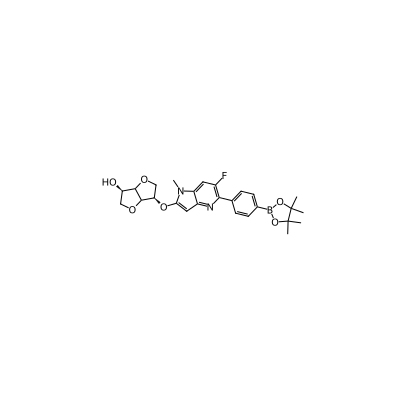 Cn1c(O[C@@H]2COC3C2OC[C@H]3O)cc2nc(-c3ccc(B4OC(C)(C)C(C)(C)O4)cc3)c(F)cc21